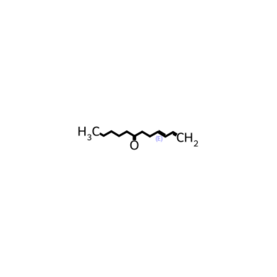 C=C/C=C/CCC(=O)CCCCC